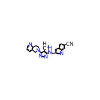 Cc1c(NCc2cnc3cc(C#N)ccc3c2)ncnc1N1CCc2ncccc2C1